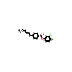 C=CCCC[C@H]1CC[C@H](C(=O)Oc2ccc(F)c(F)c2)CC1